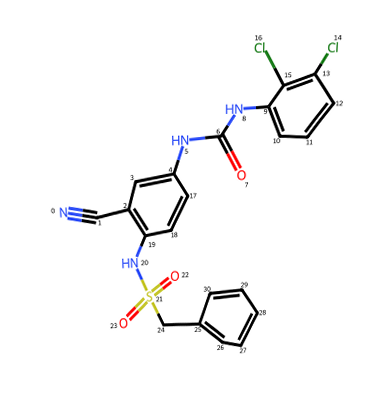 N#Cc1cc(NC(=O)Nc2cccc(Cl)c2Cl)ccc1NS(=O)(=O)Cc1ccccc1